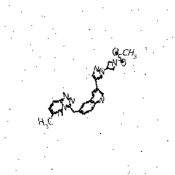 Cc1ccc2nnc(Cc3ccc4ncc(-c5cnn(C6CN(S(C)(=O)=O)C6)c5)cc4c3)n2n1